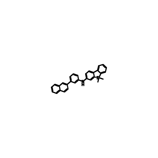 C[Si]1(C)c2ccccc2-c2ccc(Nc3cccc(-c4ccc5ccccc5c4)c3)cc21